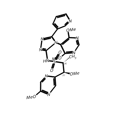 COc1cnc([C@H](OC)[C@@H](C)S(=O)(=O)Nc2nnc(-c3cccnc3)n2-c2c(OC)ncnc2OC)cn1